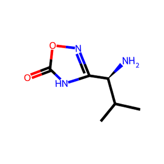 CC(C)[C@H](N)c1noc(=O)[nH]1